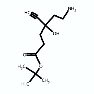 C#CC(O)(CCN)CCC(=O)OC(C)(C)C